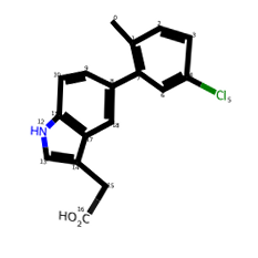 Cc1ccc(Cl)cc1-c1ccc2[nH]cc(CC(=O)O)c2c1